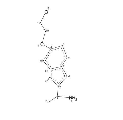 CC(N)c1cc2ccc(OCCCl)cc2o1